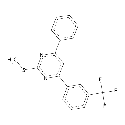 CSc1nc(-c2ccccc2)cc(-c2cccc(C(F)(F)F)c2)n1